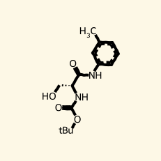 Cc1cccc(NC(=O)[C@@H](CO)NC(=O)OC(C)(C)C)c1